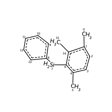 Cc1ccc(C)c([SiH2]c2ccccc2)c1C